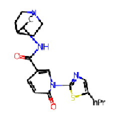 CCCc1cnc(-n2cc(C(=O)NC3CN4CCC3CC4)ccc2=O)s1